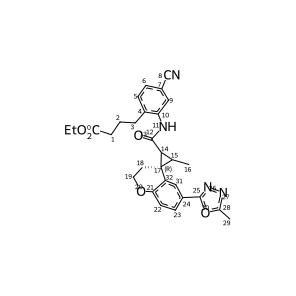 CCOC(=O)CCCc1ccc(C#N)cc1NC(=O)C1C(C)[C@]12CCOc1ccc(-c3nnc(C)o3)cc12